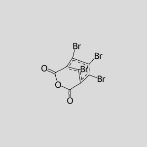 O=C1OC(=O)c2c(Br)c(Br)c(Br)c1c2Br